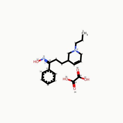 CCCN1CC=CC(CC/C(=N/O)c2ccccc2)C1.O=C(O)C(=O)O